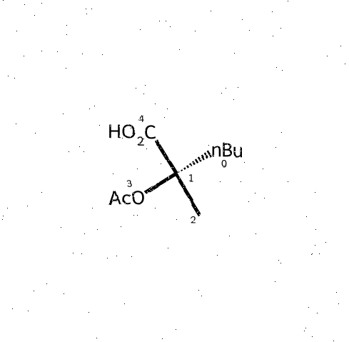 CCCC[C@](C)(OC(C)=O)C(=O)O